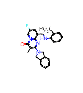 Cc1c(N2Cc3ccccc3C2)nc2c([C@H](C)Nc3ccccc3C(=O)O)cc(F)cn2c1=O